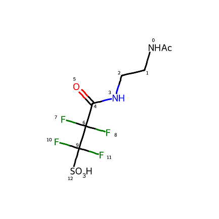 CC(=O)NCCNC(=O)C(F)(F)C(F)(F)S(=O)(=O)O